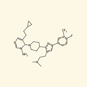 CN(C)CCn1cc(-c2ccc(F)c(C(F)(F)F)c2)nc1C1CCN(C2C(CCC3CC3)=CN=CN2N)CC1